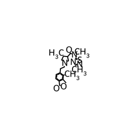 Cc1nsc(N(C)C(=O)C2CN(CCc3ccc4c(c3C)COC4=O)CC2C)n1